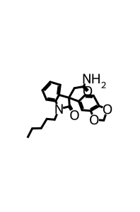 CCCCCN1C(=O)C(CC(N)=O)(c2ccc3c(c2)OCO3)c2ccccc21